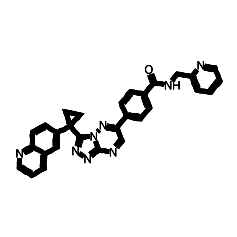 O=C(NCc1ccccn1)c1ccc(-c2cnc3nnc(C4(c5ccc6ncccc6c5)CC4)n3n2)cc1